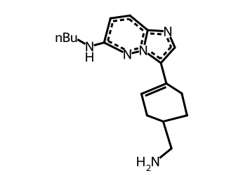 CCCCNc1ccc2ncc(C3=CCC(CN)CC3)n2n1